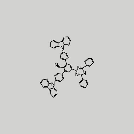 N#Cc1c(-c2ccc(-n3c4ccccc4c4ccccc43)cc2)cc(-c2nc(-c3ccccc3)nc(-c3ccccc3)n2)cc1-c1ccc(-n2c3ccccc3c3ccccc32)cc1